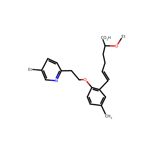 CCOC(CC/C=C/c1cc(C)ccc1OCCc1ccc(CC)cn1)C(=O)O